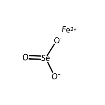 O=[Se]([O-])[O-].[Fe+2]